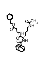 CC(=O)NCCCC[C@H](NC(=O)C12CC3CC(CC(C3)C1)C2)C(=O)NCCC(=O)OCc1ccccc1